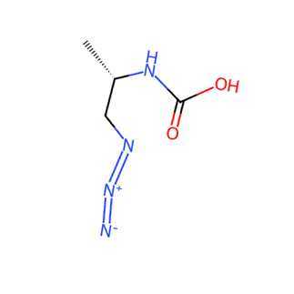 C[C@@H](CN=[N+]=[N-])NC(=O)O